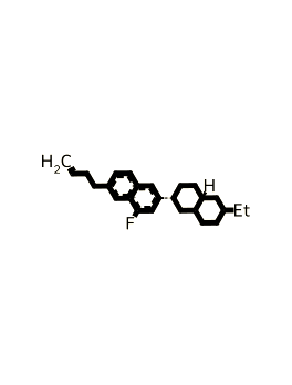 C=CCCc1ccc2cc([C@@H]3CC[C@@H]4CC(CC)CCC4C3)cc(F)c2c1